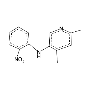 Cc1cc(C)c(Nc2ccccc2[N+](=O)[O-])cn1